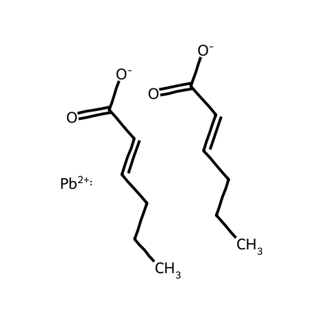 CCCC=CC(=O)[O-].CCCC=CC(=O)[O-].[Pb+2]